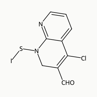 O=CC1=C(Cl)c2cccnc2N(SI)C1